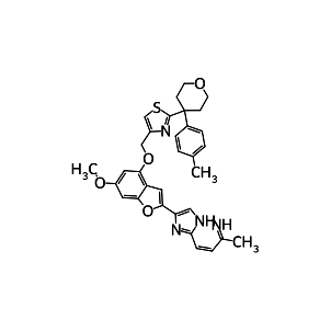 COc1cc(OCc2csc(C3(c4ccc(C)cc4)CCOCC3)n2)c2cc(-c3c[nH]c(/C=C\C(C)=N)n3)oc2c1